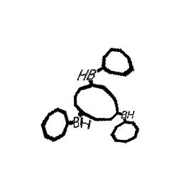 B(C1CCCCCCC1)C1CCCC(BC2CCCCCCC2)CCC(BC2CCCCCCC2)CC1